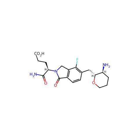 NC(=O)[C@@H](CCC(=O)O)N1Cc2c(ccc(C[C@H]3OCCC[C@@H]3N)c2F)C1=O